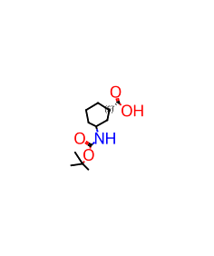 CC(C)(C)OC(=O)NC1CCC[C@H](C(=O)O)C1